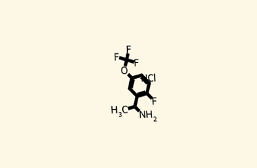 CC(N)c1cc(OC(F)(F)F)ccc1F.Cl